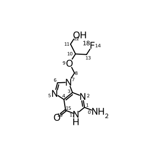 Nc1nc2c(ncn2COC(CO)C[18F])c(=O)[nH]1